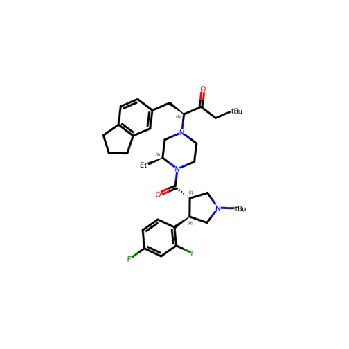 CC[C@H]1CN([C@@H](Cc2ccc3c(c2)CCC3)C(=O)CC(C)(C)C)CCN1C(=O)[C@@H]1CN(C(C)(C)C)C[C@H]1c1ccc(F)cc1F